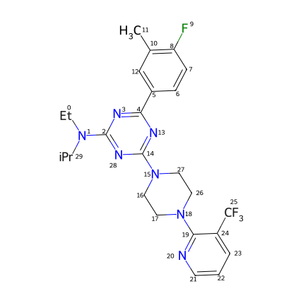 CCN(c1nc(-c2ccc(F)c(C)c2)nc(N2CCN(c3ncccc3C(F)(F)F)CC2)n1)C(C)C